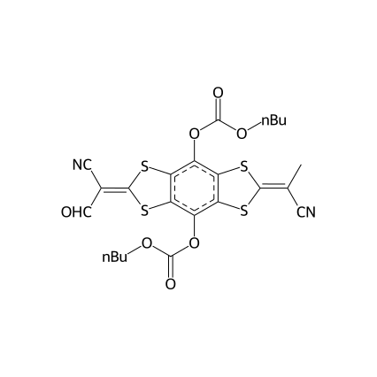 CCCCOC(=O)Oc1c2c(c(OC(=O)OCCCC)c3c1SC(=C(C#N)C=O)S3)SC(=C(C)C#N)S2